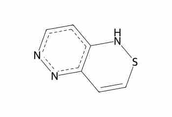 C1=Cc2nnccc2NS1